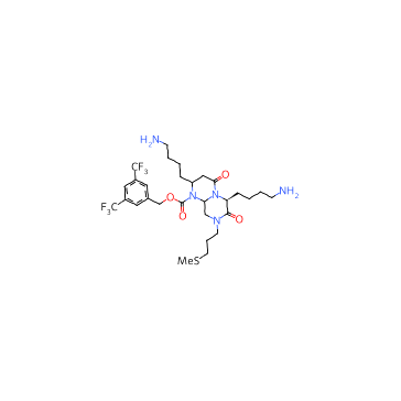 CSCCCN1CC2N(C(=O)OCc3cc(C(F)(F)F)cc(C(F)(F)F)c3)C(CCCCN)CC(=O)N2[C@@H](CCCCN)C1=O